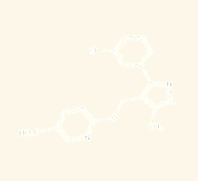 Cc1onc(-c2cccc(Cl)c2)c1COc1ccc(C(=O)O)cn1